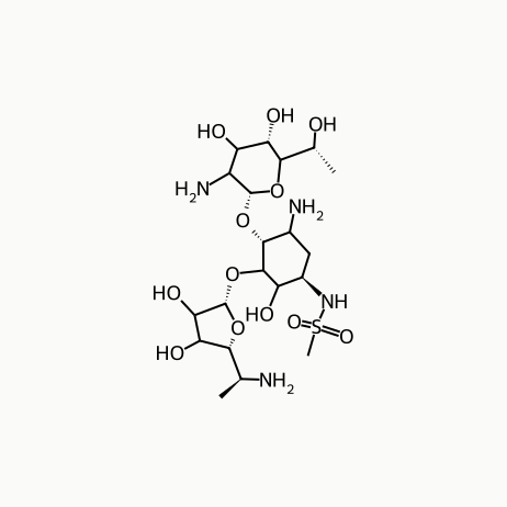 C[C@H](N)[C@H]1O[C@@H](OC2C(O)[C@H](NS(C)(=O)=O)CC(N)[C@H]2O[C@H]2OC([C@@H](C)O)[C@@H](O)C(O)C2N)C(O)C1O